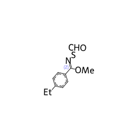 CCc1ccc(/C(=N/SC=O)OC)cc1